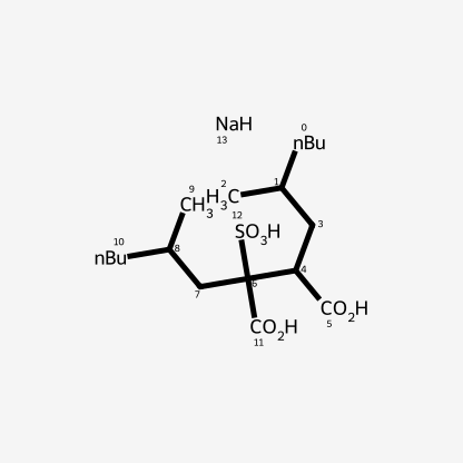 CCCCC(C)CC(C(=O)O)C(CC(C)CCCC)(C(=O)O)S(=O)(=O)O.[NaH]